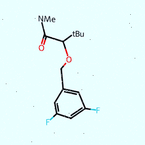 CNC(=O)C(OCc1cc(F)cc(F)c1)C(C)(C)C